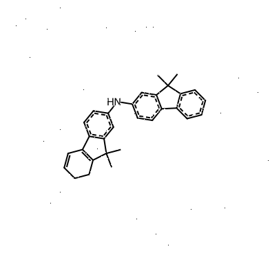 CC1(C)C2=C(C=CCC2)c2ccc(Nc3ccc4c(c3)C(C)(C)c3ccccc3-4)cc21